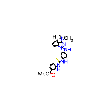 COC(=O)c1cccc(NC(=S)N[C@H]2CC[C@@H](Nc3nc(N(C)C)c4ccccc4n3)CC2)c1